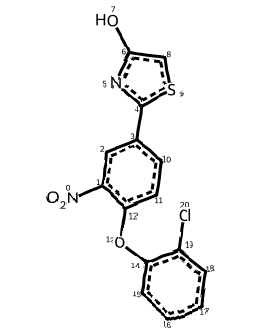 O=[N+]([O-])c1cc(-c2nc(O)cs2)ccc1Oc1ccccc1Cl